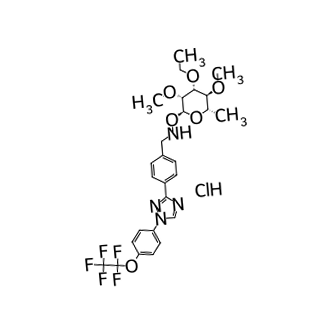 CCO[C@@H]1[C@@H](OC)[C@H](C)O[C@@H](ONCc2ccc(-c3ncn(-c4ccc(OC(F)(F)C(F)(F)F)cc4)n3)cc2)[C@@H]1OC.Cl